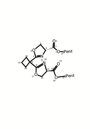 CCCC(C)OC(=O)[C@H]1COC(C2(C3=N[C@@H](C(=O)OC(C)CCC)CO3)CCC2)=N1